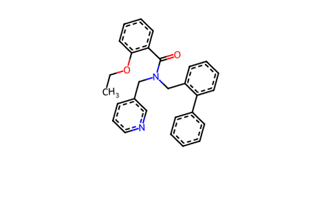 CCOc1ccccc1C(=O)N(Cc1cccnc1)Cc1ccccc1-c1ccccc1